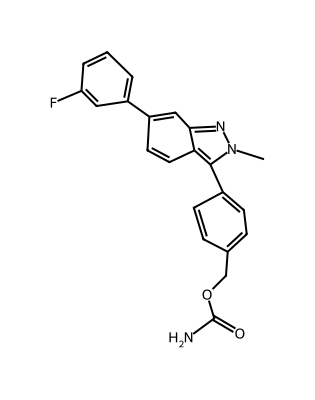 Cn1nc2cc(-c3cccc(F)c3)ccc2c1-c1ccc(COC(N)=O)cc1